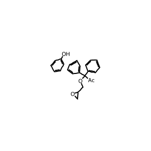 CC(=O)C(OCC1CO1)(c1ccccc1)c1ccccc1.Oc1ccccc1